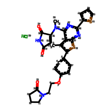 Cc1c(-c2ccc(OCCN3CCCC3=O)cc2)sc2nc(-c3cccs3)nc(N(C)C3=CC(=O)NC3=O)c12.Cl